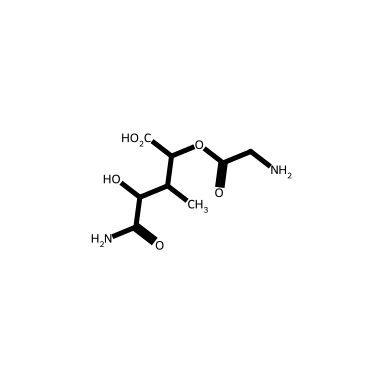 CC(C(O)C(N)=O)C(OC(=O)CN)C(=O)O